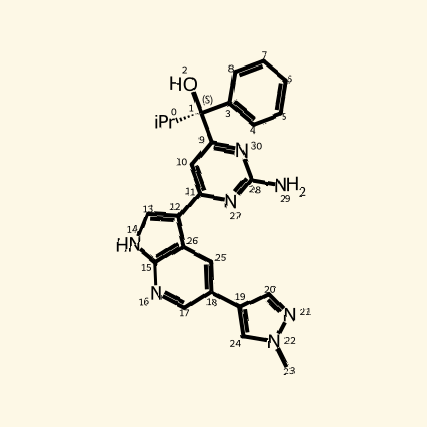 CC(C)[C@](O)(c1ccccc1)c1cc(-c2c[nH]c3ncc(-c4cnn(C)c4)cc23)nc(N)n1